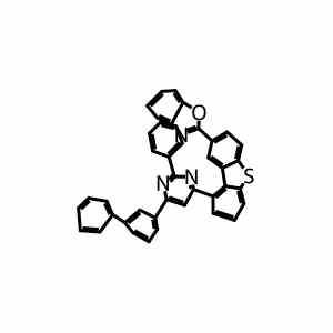 c1ccc(-c2cccc(-c3cc(-c4cccc5sc6ccc(-c7nc8ccccc8o7)cc6c45)nc(-c4ccccc4)n3)c2)cc1